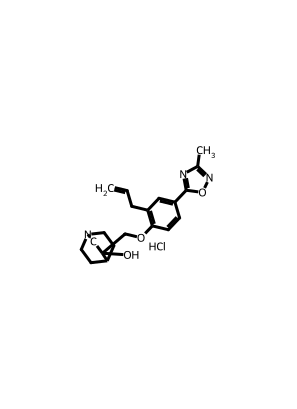 C=CCc1cc(-c2nc(C)no2)ccc1OCC1(O)CN2CCC1CC2.Cl